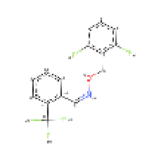 Fc1cccc(F)c1CO/N=[C]\c1ccccc1C(F)(F)F